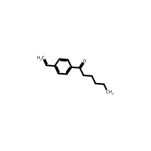 C=Cc1ccc(C(=O)CCCCC)cc1